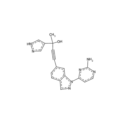 CC(O)(C#Cc1ccc2cnn(-c3ccnc(N)n3)c2c1)c1cn[nH]c1